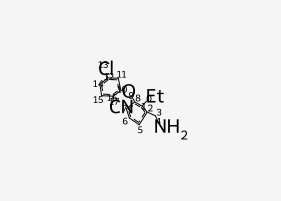 CCc1c(CN)cccc1Oc1cc(Cl)ccc1C#N